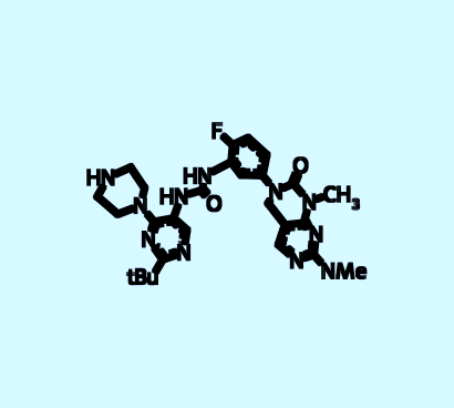 CNc1ncc2c(n1)N(C)C(=O)N(c1ccc(F)c(NC(=O)Nc3cnc(C(C)(C)C)nc3N3CCNCC3)c1)C2